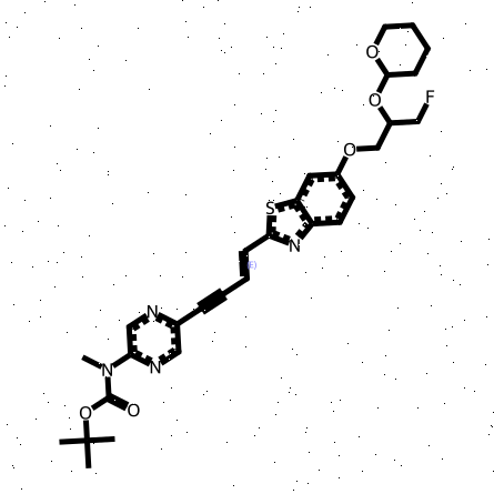 CN(C(=O)OC(C)(C)C)c1cnc(C#C/C=C/c2nc3ccc(OCC(CF)OC4CCCCO4)cc3s2)cn1